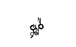 CCOC(=O)c1cccnc1Nc1cccc(C#N)c1